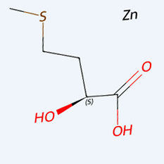 CSCC[C@H](O)C(=O)O.[Zn]